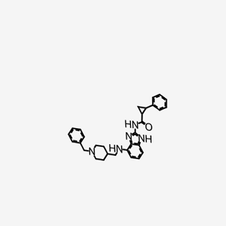 O=C(Nc1nc2c(NCC3CCN(Cc4ccccc4)CC3)cccc2[nH]1)C1CC1c1ccccc1